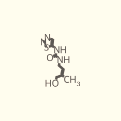 CC(=CCNC(=O)Nc1cnns1)CO